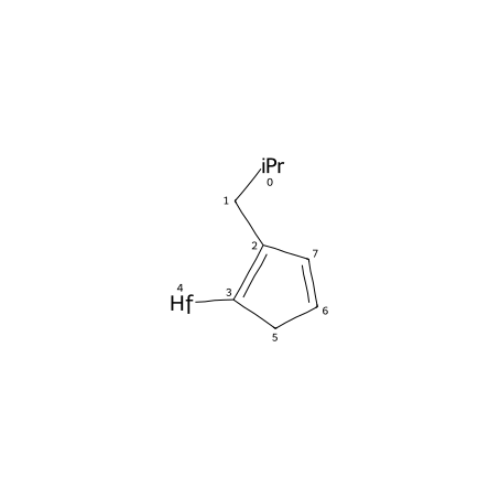 CC(C)CC1=[C]([Hf])CC=C1